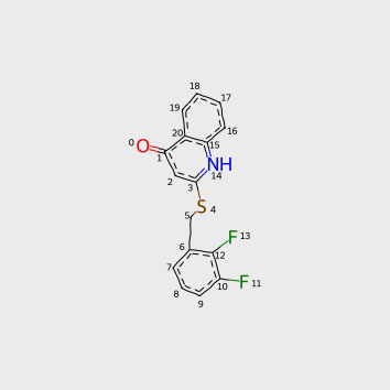 O=c1cc(SCc2cccc(F)c2F)[nH]c2ccccc12